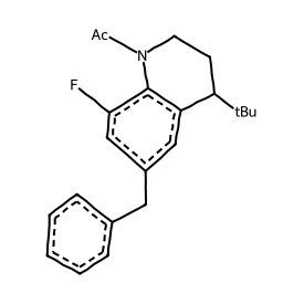 CC(=O)N1CCC(C(C)(C)C)c2cc(Cc3ccccc3)cc(F)c21